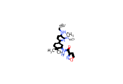 CN(N=O)c1nc(C2CCC(C)(C)C(NC(=O)c3ccon3)C2)ccc1NCC(C)(C)C